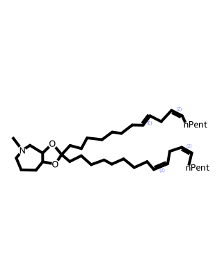 CCCCC/C=C\C/C=C\CCCCCCCCC1(CCCCCCC/C=C/C/C=C\CCCCC)OC2CCCN(C)CC2O1